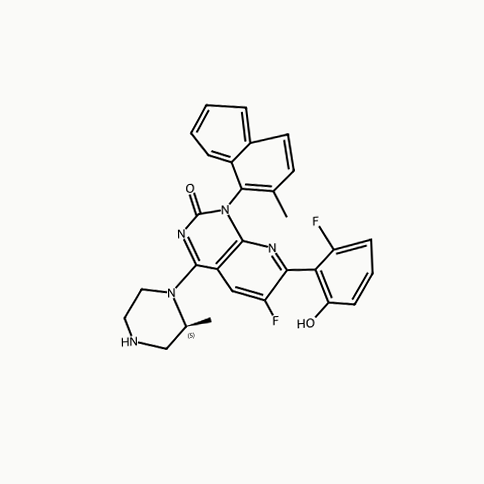 Cc1ccc2ccccc2c1-n1c(=O)nc(N2CCNC[C@@H]2C)c2cc(F)c(-c3c(O)cccc3F)nc21